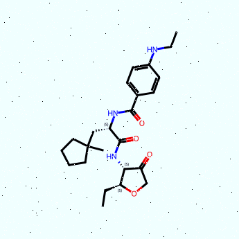 CCNc1ccc(C(=O)N[C@@H](CC2(C)CCCC2)C(=O)N[C@@H]2C(=O)CO[C@H]2CC)cc1